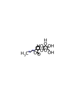 C/C=C/C=C1\OC(=O)c2c(O[C@@H]3OC(CO)[C@@H](O)C(O)[C@@H]3O)cccc21